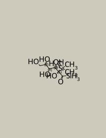 C[Si](C)(C)[C@](O)(C(=O)[SiH3])[C@@H](O)[C@H](O)[C@H](O)CO